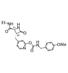 CCNC(=O)[C@H]1NC(=O)[C@@H]1Cc1ccnc(OC(=O)NCc2ccc(OC)cc2)c1